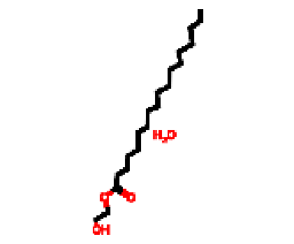 CCCCCCCCCCCCCCCCCC(=O)OCCO.O